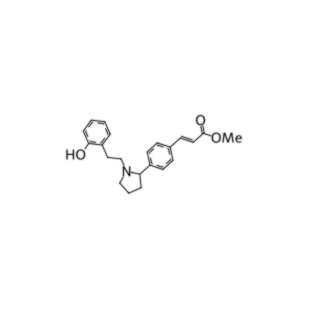 COC(=O)/C=C/c1ccc(C2CCCN2CCc2ccccc2O)cc1